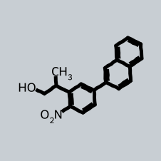 CC(CO)c1cc(-c2ccc3ccccc3c2)ccc1[N+](=O)[O-]